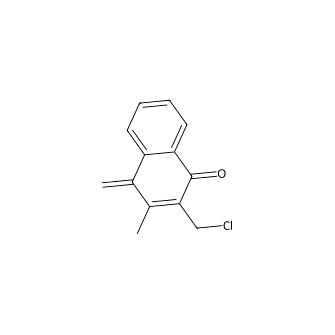 C=C1C(C)=C(CCl)C(=O)c2ccccc21